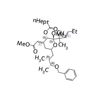 CC/C=C/C(C)(C)[C@]1(OC)OC(C[C@@H](C)[C@@H](C)OCc2ccccc2)C/C(=C\C(=O)OC)[C@@H]1OC(=O)CCCCCCC